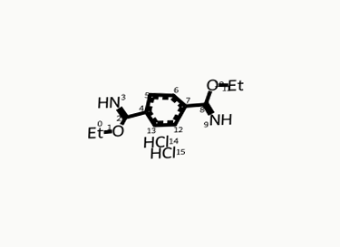 CCOC(=N)c1ccc(C(=N)OCC)cc1.Cl.Cl